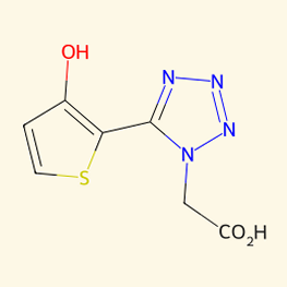 O=C(O)Cn1nnnc1-c1sccc1O